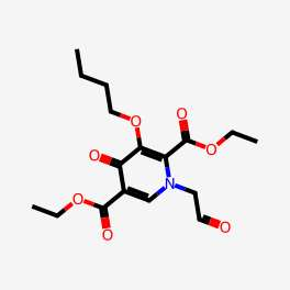 CCCCOc1c(C(=O)OCC)n(CC=O)cc(C(=O)OCC)c1=O